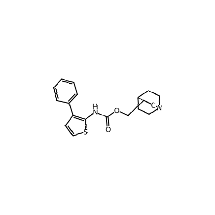 O=C(Nc1sccc1-c1ccccc1)OCC1CN2CCC1CC2